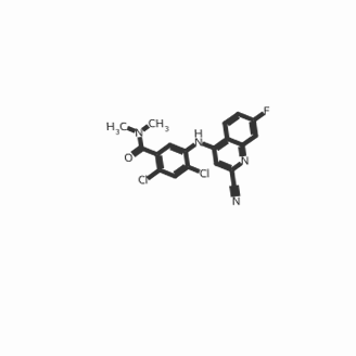 CN(C)C(=O)c1cc(Nc2cc(C#N)nc3cc(F)ccc23)c(Cl)cc1Cl